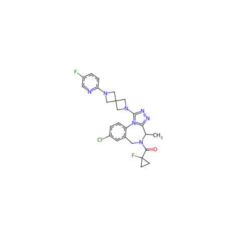 CC1c2nnc(N3CC4(CN(c5ccc(F)cn5)C4)C3)n2-c2ccc(Cl)cc2CN1C(=O)C1(F)CC1